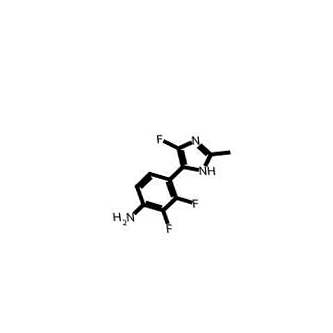 Cc1nc(F)c(-c2ccc(N)c(F)c2F)[nH]1